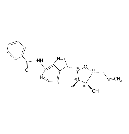 C=NC[C@H]1O[C@@H](n2cnc3c(NC(=O)c4ccccc4)ncnc32)[C@H](F)[C@@H]1O